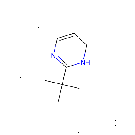 CC(C)(C)C1=NC=CCN1